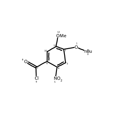 CCCCOc1cc([N+](=O)[O-])c(C(=O)Cl)cc1OC